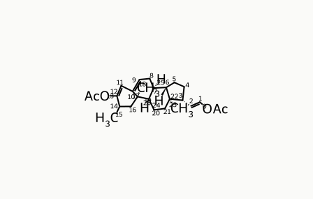 CC(=O)OC=C[C@H]1CC[C@H]2[C@@H]3CC=C4C=C(OC(C)=O)C(C)C[C@]4(C)[C@H]3CC[C@]12C